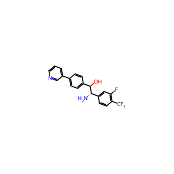 N[C@@H](c1ccc(C(F)(F)F)c(F)c1)[C@H](O)c1ccc(-c2cccnc2)cc1